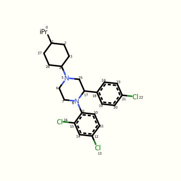 CC(C)C1CCC(N2CCN(c3ccc(Cl)cc3Cl)C(c3ccc(Cl)cc3)C2)CC1